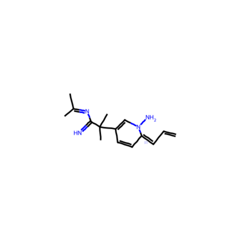 C=C/C=C1/C=CC(C(C)(C)C(=N)N=C(C)C)=CN1N